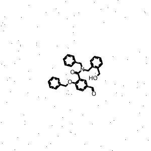 O=Cc1ccc(OCc2ccccc2)c(C(=O)N(Cc2ccccc2)Cc2ccccc2CO)c1